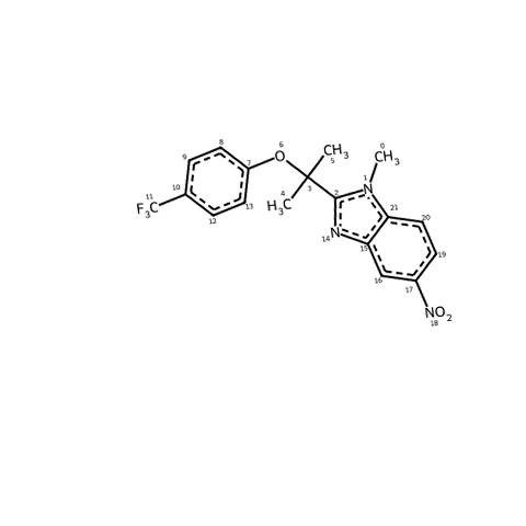 Cn1c(C(C)(C)Oc2ccc(C(F)(F)F)cc2)nc2cc([N+](=O)[O-])ccc21